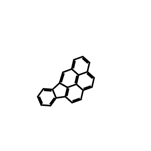 [c]1cc2c3c(cc4cccc5ccc1c3c54)-c1ccccc1-2